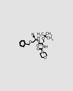 CC(C)(C)OC[C@H](NC(=O)N1CCOCC1)C(=O)N[C@H](C#N)COCc1ccccc1